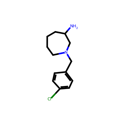 NC1CCCCN(Cc2ccc(Cl)cc2)C1